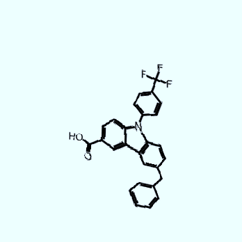 O=C(O)c1ccc2c(c1)c1cc(Cc3ccccc3)ccc1n2-c1ccc(C(F)(F)F)cc1